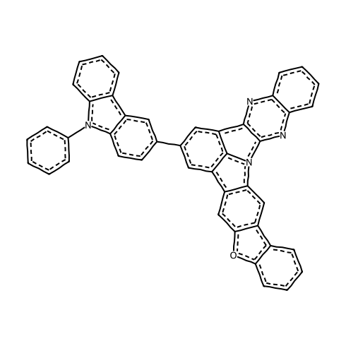 c1ccc(-n2c3ccccc3c3cc(-c4cc5c6cc7oc8ccccc8c7cc6n6c7nc8ccccc8nc7c(c4)c56)ccc32)cc1